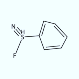 N#[SH](F)c1ccccc1